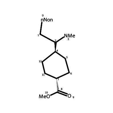 CCCCCCCCCCC(NC)[C@H]1CC[C@H](C(=O)OC)CC1